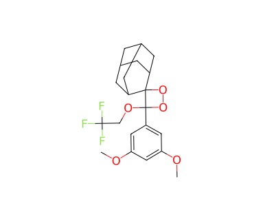 COc1cc(OC)cc(C2(OCC(F)(F)F)OOC23C2CC4CC(C2)CC3C4)c1